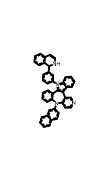 C1=Cc2ccccc2C(c2cccc(-n3c4c(c5ccccc53)-c3cnccc3N(c3ccc5ccccc5c3)c3ccccc3-4)c2)N1